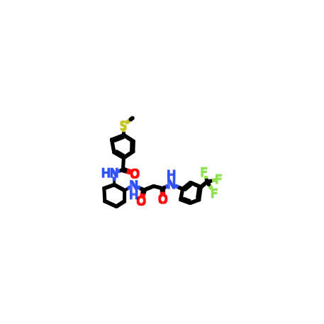 CSc1ccc(C(=O)N[C@@H]2CCCC[C@@H]2NC(=O)CC(=O)Nc2cccc(C(F)(F)F)c2)cc1